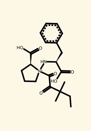 CCC(C)(C)C(=O)C(=O)[N+]1(N[C@@H](Cc2ccccc2)C(=O)O)CCC[C@H]1C(=O)O